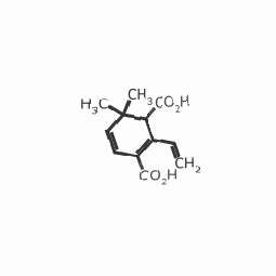 C=CC1=C(C(=O)O)C=CC(C)(C)C1C(=O)O